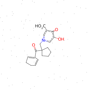 O=C(O)c1cn(CC2(C(=O)C3=CCCC=C3)CCCC2)cc(O)c1=O